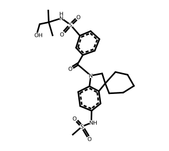 CC(C)(CO)NS(=O)(=O)c1cccc(C(=O)N2CC3(CCCCC3)c3cc(NS(C)(=O)=O)ccc32)c1